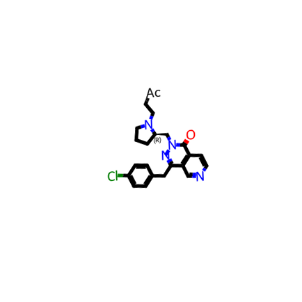 CC(=O)CCN1CCC[C@@H]1Cn1nc(Cc2ccc(Cl)cc2)c2cnccc2c1=O